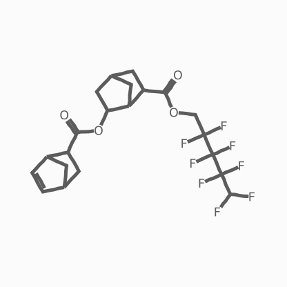 O=C(OC1CC2CC(C(=O)OCC(F)(F)C(F)(F)C(F)(F)C(F)F)C1C2)C1CC2C=CC1C2